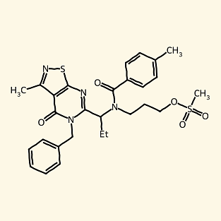 CCC(c1nc2snc(C)c2c(=O)n1Cc1ccccc1)N(CCCOS(C)(=O)=O)C(=O)c1ccc(C)cc1